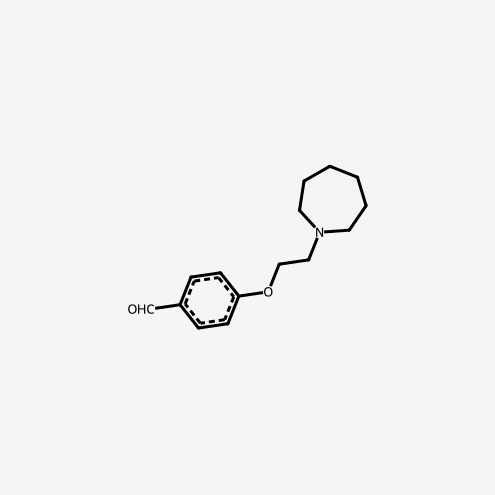 O=Cc1ccc(OCCN2CCCCCC2)cc1